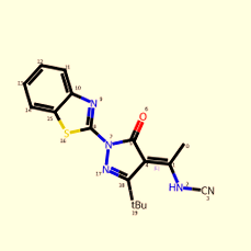 C/C(NC#N)=C1\C(=O)N(c2nc3ccccc3s2)N=C1C(C)(C)C